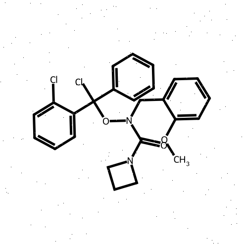 COc1ccccc1CN(OC(Cl)(c1ccccc1)c1ccccc1Cl)C(=O)N1CCC1